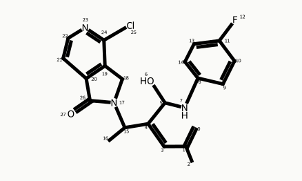 C=C(C)/C=C(\C(O)Nc1ccc(F)cc1)C(C)N1Cc2c(ccnc2Cl)C1=O